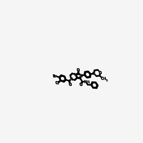 CC1CN(c2ccc(-n3c(C(=O)NCc4ccccc4)c4n(c3=O)CCN(C(=O)c3ccc(Br)c(Cl)c3)C4)cc2)CCO1